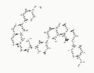 CCc1ccc(-c2ccc3ccc4ccc(-c5cccc(-c6ccc7ccc8ccc(-c9ccc(CC)cc9)nc8c7n6)c5)nc4c3n2)cc1